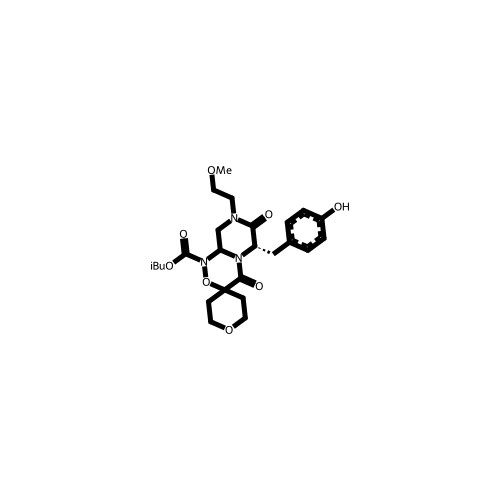 COCCN1CC2N(C(=O)OCC(C)C)OC3(CCOCC3)C(=O)N2[C@@H](Cc2ccc(O)cc2)C1=O